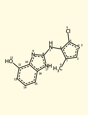 Cc1csc(Cl)c1Nc1nc2c(O)cccc2[nH]1